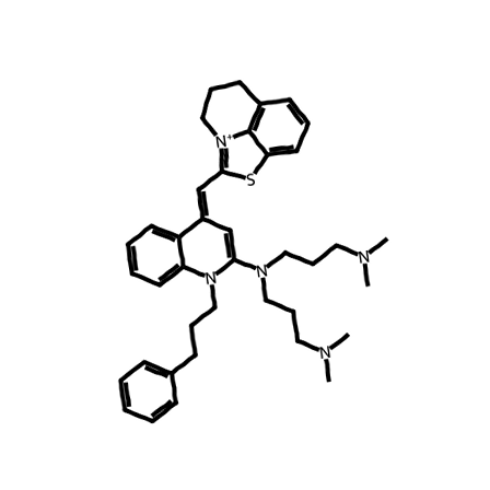 CN(C)CCCN(CCCN(C)C)C1=C/C(=C\c2sc3cccc4c3[n+]2CCC4)c2ccccc2N1CCCc1ccccc1